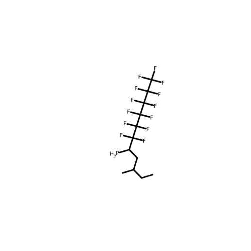 CCC(C)CC(P)C(F)(F)C(F)(F)C(F)(F)C(F)(F)C(F)(F)C(F)(F)F